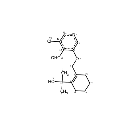 CC(C)(O)C1=C(COc2cncc(Cl)c2C=O)CCCC1